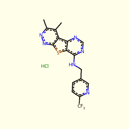 Cc1nnc2sc3c(NCc4ccc(C(F)(F)F)nc4)ncnc3c2c1C.Cl